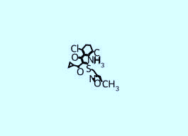 CC1=c2[nH]c(SCc3cc(C)on3)c(C(=O)C3CC3)c(=O)c2=C(Cl)CC1